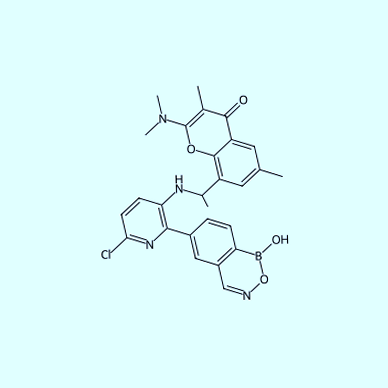 Cc1cc(C(C)Nc2ccc(Cl)nc2-c2ccc3c(c2)C=NOB3O)c2oc(N(C)C)c(C)c(=O)c2c1